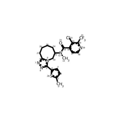 Cc1ccc(-c2nnc3n2CC(N(C)C(=O)c2ccnc(C(F)(F)F)c2Cl)CCCC3)s1